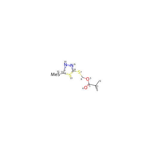 C=C(C)C(=O)OCSc1nnc(SC)s1